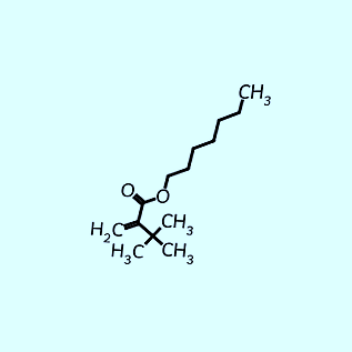 C=C(C(=O)OCCCCCCC)C(C)(C)C